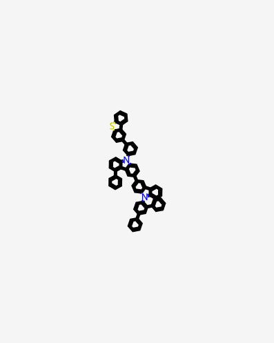 c1ccc(-c2ccc(-n3c4ccccc4c4cc(-c5ccc6c(c5)c5c(-c7ccccc7)cccc5n6-c5cccc(-c6ccc7sc8ccccc8c7c6)c5)ccc43)c(-c3ccccc3)c2)cc1